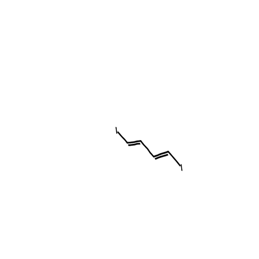 IC=CC=CI